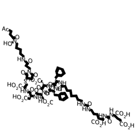 CC(=O)CCC(=O)N(O)CCCCCNC(=O)CCN1C(=O)CC(SC[C@H](NC(=O)[C@H](CC(=O)O)NC(=O)[C@H](CC(=O)O)NC(=O)[C@H](CC(=O)O)NC(=O)[C@H](Cc2ccccc2)NC(=O)[C@H](Cc2ccccc2)NC(=O)CCCCCCCNC(=O)NCCCC[C@H](NC(=O)N[C@@H](CCC(=O)O)C(=O)O)C(=O)O)C(=O)O)C1=O